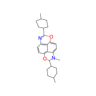 CC1CCC(C2=Nc3ccc4c5c(ccc(c35)O2)N(C)C(C2CCC(C)CC2)O4)CC1